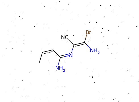 C\C=C/C(N)=N\C(C#N)=C(/N)Br